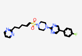 O=S(=O)(C=CCCCc1ncccn1)N1CCN(c2ncc(-c3ccc(F)cc3)cn2)CC1